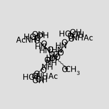 CC(=O)NC1C(O)[C@@H](O)C(CO)O[C@H]1OCCCCC(=O)CNCCCNC(=O)CCOCC(COCCC(=O)NCCCNCC(=O)CCCCO[C@@H]1OC(CO)[C@H](O)C(O)C1NC(C)=O)(COCCC(=O)NCCCNC(=O)CCCCO[C@@H]1OC(CO)[C@H](O)C(O)C1NC(C)=O)NC(=O)CCCCCCCCC1OC1C